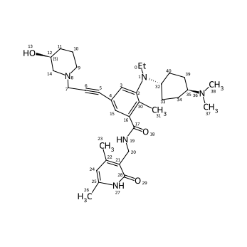 CCN(c1cc(C#CCN2CCC[C@H](O)C2)cc(C(=O)NCc2c(C)cc(C)[nH]c2=O)c1C)[C@H]1CC[C@H](N(C)C)CC1